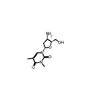 Cc1cn([C@H]2C[C@@H](N)[C@@H](CO)O2)c(=O)n(C)c1=O